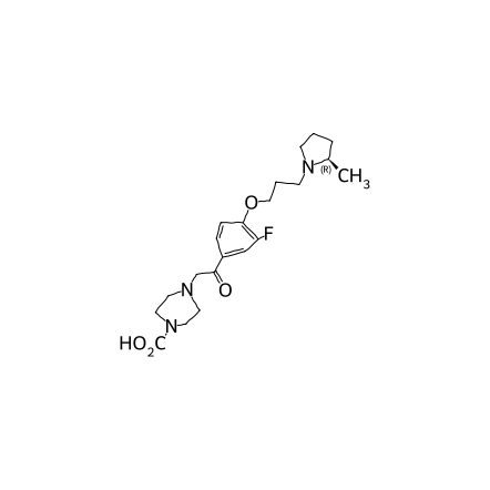 C[C@@H]1CCCN1CCCOc1ccc(C(=O)CN2CCN(C(=O)O)CC2)cc1F